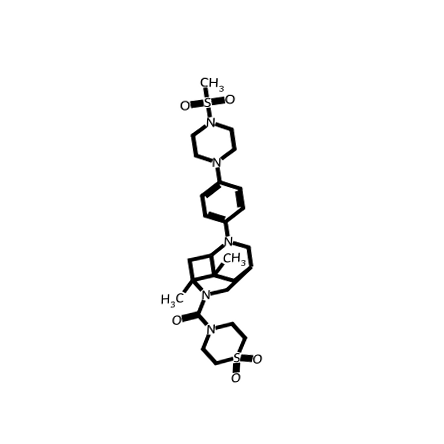 CC12CC3CN(c4ccc(N5CCN(S(C)(=O)=O)CC5)cc4)C1CC2(C)N(C(=O)N1CCS(=O)(=O)CC1)C3